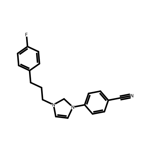 N#Cc1ccc(N2C=CN(CCCc3ccc(F)cc3)C2)cc1